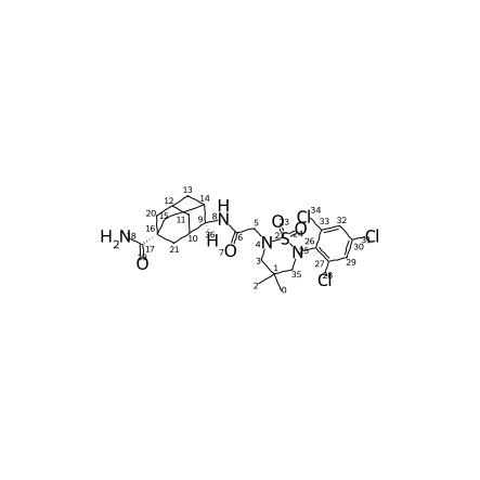 CC1(C)CN(CC(=O)N[C@H]2C3CC4CC2C[C@](C(N)=O)(C4)C3)S(=O)(=O)N(c2c(Cl)cc(Cl)cc2Cl)C1